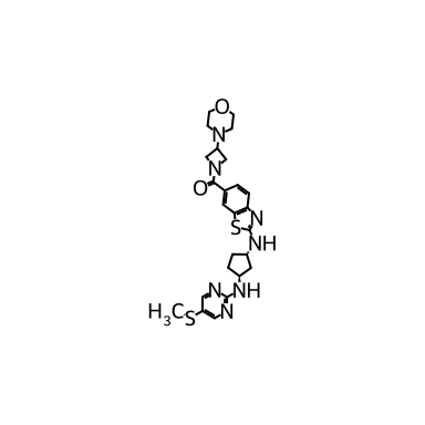 CSc1cnc(N[C@H]2CC[C@H](Nc3nc4ccc(C(=O)N5CC(N6CCOCC6)C5)cc4s3)C2)nc1